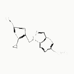 O=Cc1ccc2c(cnn2Cc2ccc(Cl)cc2C2CC2)c1